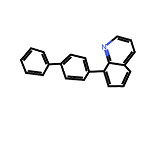 c1ccc(-c2ccc(-c3cccc4cccnc34)cc2)cc1